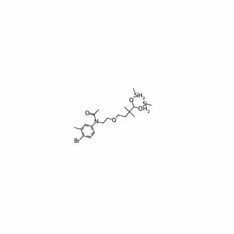 C[SiH2]OC(O[SiH2]C)C(C)(C)CCOCCN(C(C)=O)c1ccc(Br)c(C)c1